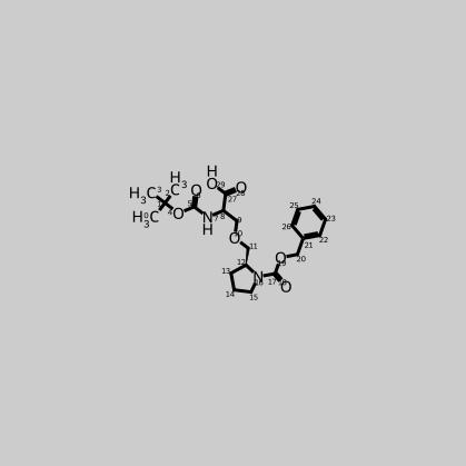 CC(C)(C)OC(=O)NC(COC[C@@H]1CCCN1C(=O)OCc1ccccc1)C(=O)O